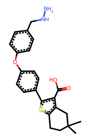 CC1(C)CCc2sc(-c3ccc(Oc4ccc(CNN)cc4)cc3)c(C(=O)O)c2C1